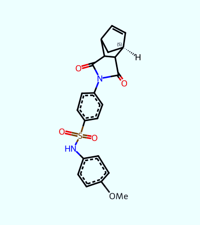 COc1ccc(NS(=O)(=O)c2ccc(N3C(=O)C4C5C=C[C@H](C5)C4C3=O)cc2)cc1